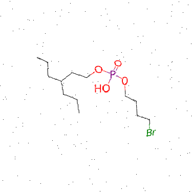 CCCC(CCC)CCOP(=O)(O)OCCCCBr